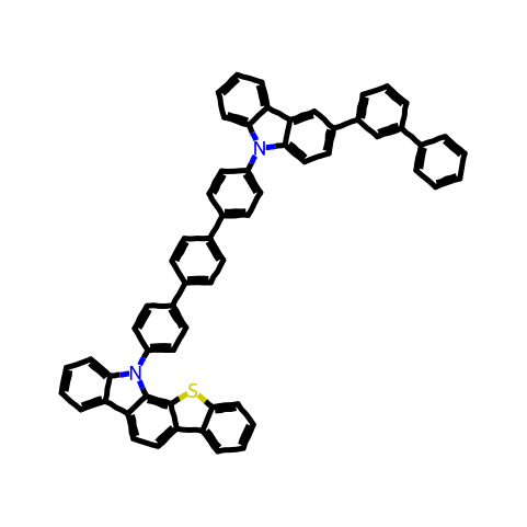 c1ccc(-c2cccc(-c3ccc4c(c3)c3ccccc3n4-c3ccc(-c4ccc(-c5ccc(-n6c7ccccc7c7ccc8c9ccccc9sc8c76)cc5)cc4)cc3)c2)cc1